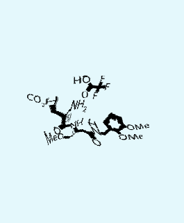 COC[C@H](NC(=O)[C@@H](N)CC(=O)O)C(=O)NCc1cccc(OC)c1OC.O=C(O)C(F)(F)F